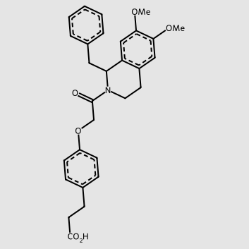 COc1cc2c(cc1OC)C(Cc1ccccc1)N(C(=O)COc1ccc(CCC(=O)O)cc1)CC2